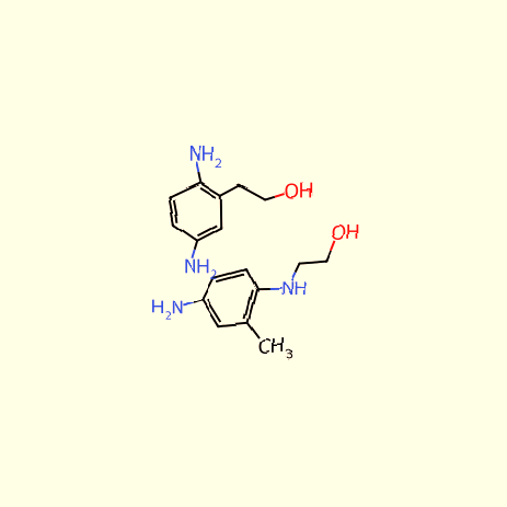 Cc1cc(N)ccc1NCCO.Nc1ccc(N)c(CCO)c1